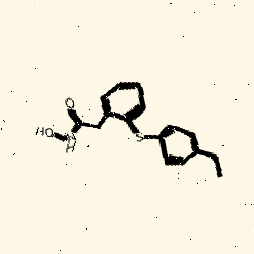 CCc1ccc(Sc2ccccc2CC(=O)NO)cc1